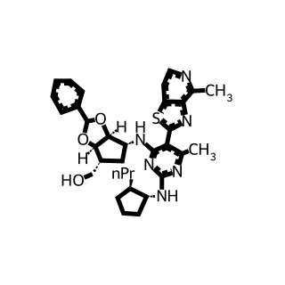 CCC[C@@H]1CCC[C@H]1Nc1nc(C)c(-c2nc3c(C)nccc3s2)c(N[C@@H]2C[C@H](CO)[C@H]3OC(c4ccccc4)O[C@H]32)n1